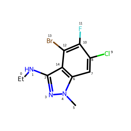 CCNc1nn(C)c2cc(Cl)c(F)c(Br)c12